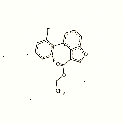 CCOC(=O)c1coc2cccc(-c3c(F)cccc3F)c12